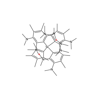 CC1=C(C)C(C)C([Si](c2c(N(C)C)c(C)c(C)c(N(C)C)c2N(C)C)(c2c(N(C)C)c(C)c(C)c(N(C)C)c2N(C)C)c2c(N(C)C)c(C)c(C)c(N(C)C)c2N(C)C)=C1C